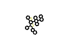 C1=Cc2cc(C3Sc4c(cc5c(sc6ccccc65)c4-c4c5ccccc5c(-c5cccc6ccccc56)c5ccccc45)C3c3ccccc3)ccc2CC1